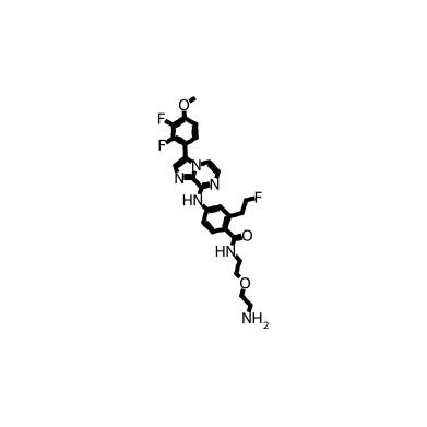 COc1ccc(-c2cnc3c(Nc4ccc(C(=O)NCCOCCN)c(CCF)c4)nccn23)c(F)c1F